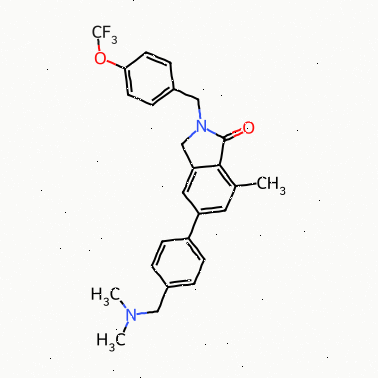 Cc1cc(-c2ccc(CN(C)C)cc2)cc2c1C(=O)N(Cc1ccc(OC(F)(F)F)cc1)C2